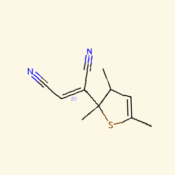 CC1=CC(C)C(C)(/C(C#N)=C/C#N)S1